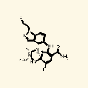 CCCC[C@@H](Nc1nc(Nc2ccc3c(cnn3CCF)c2)c(C(N)=O)cc1F)[C@H](C)N